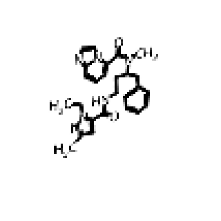 CCn1nc(C)cc1C(=O)NCCC(Cc1ccccc1)N(C)C(=O)c1cccc2nccn12